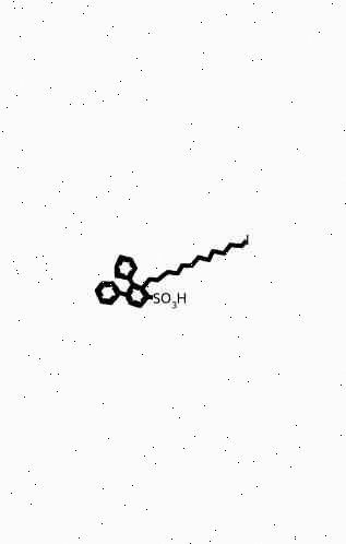 O=S(=O)(O)c1ccc(-c2ccccc2)c(-c2ccccc2)c1CCCCCCCCCCCCI